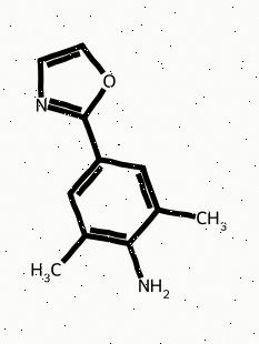 Cc1cc(-c2ncco2)cc(C)c1N